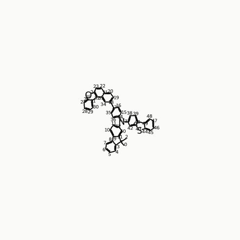 CC1(C)c2ccccc2-c2ccc(N(c3ccc(-c4ccc5ccc6oc7ccccc7c6c5c4)cc3)c3ccc4c(c3)sc3ccccc34)cc21